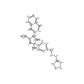 NC1=NC(N)(c2ccc(OCCN3CCCC3)cc2)NN1c1cnc2ccccc2n1